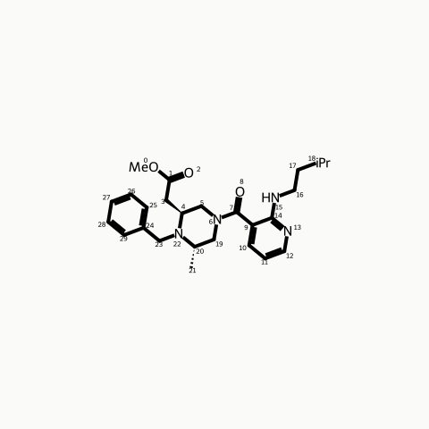 COC(=O)C[C@H]1CN(C(=O)c2cccnc2NCCC(C)C)C[C@H](C)N1Cc1ccccc1